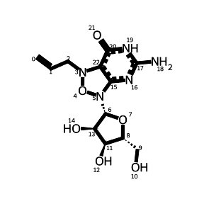 C=CCN1ON([C@@H]2O[C@H](CO)[C@@H](O)[C@H]2O)c2nc(N)[nH]c(=O)c21